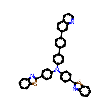 c1cnc2cc(-c3ccc(-c4ccc(N(c5ccc(-c6nc7ccccc7s6)cc5)c5ccc(-c6nc7ccccc7s6)cc5)cc4)cc3)ccc2c1